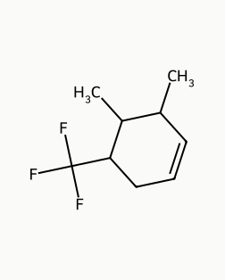 CC1C=CCC(C(F)(F)F)C1C